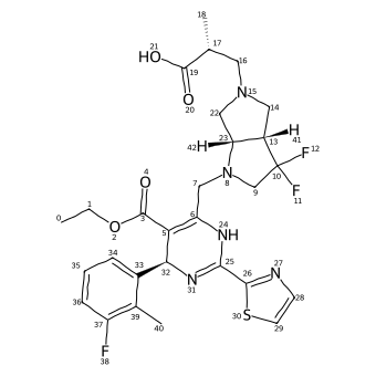 CCOC(=O)C1=C(CN2CC(F)(F)[C@H]3CN(C[C@@H](C)C(=O)O)C[C@H]32)NC(c2nccs2)=N[C@H]1c1cccc(F)c1C